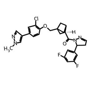 Cn1cc(-c2ccc(OCC34CC(C3)[C@@H](C(=O)N3N=CCC3c3cc(F)cc(F)c3)C4)c(Cl)c2)cn1